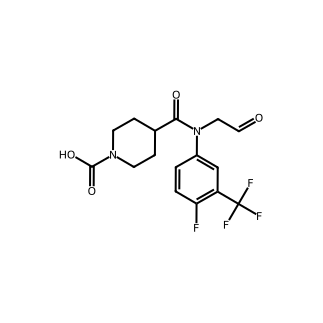 O=CCN(C(=O)C1CCN(C(=O)O)CC1)c1ccc(F)c(C(F)(F)F)c1